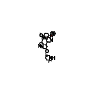 COc1ccc(CN2C3CC2CN(c2ccc(-c4cc(OC[C@H]5CCC(C)(C)NC5)cn5ncc(C#N)c45)cn2)C3)cn1